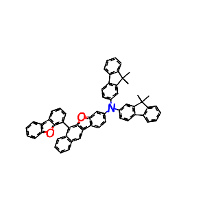 CC1(C)c2ccccc2-c2ccc(N(c3ccc4c(c3)C(C)(C)c3ccccc3-4)c3ccc4c(c3)oc3c(-c5cccc6c5oc5ccccc56)c5ccccc5cc34)cc21